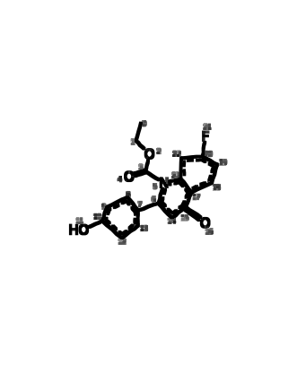 CCOC(=O)n1c(-c2ccc(O)cc2)cc(=O)c2ccc(F)cc21